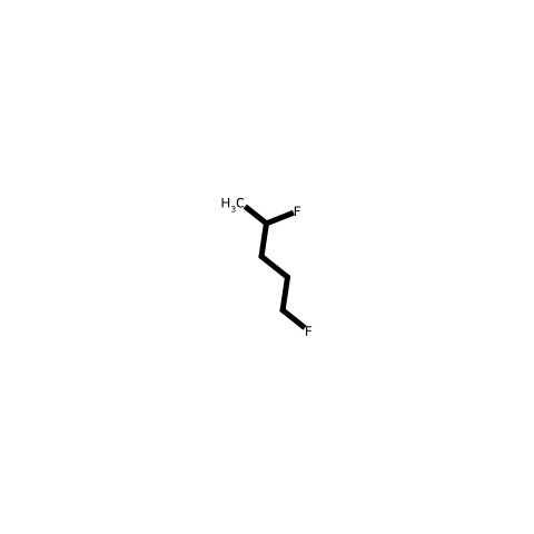 CC(F)CCCF